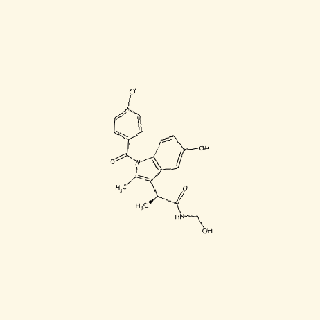 Cc1c([C@H](C)C(=O)NCO)c2cc(O)ccc2n1C(=O)c1ccc(Cl)cc1